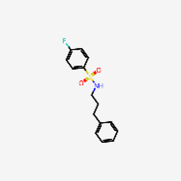 O=S(=O)(NCCCc1ccccc1)c1ccc(F)cc1